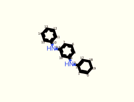 C1=CC(Nc2cccc(Nc3ccccc3)c2)=CCC1